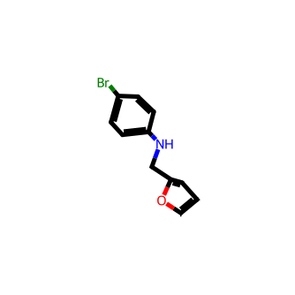 Brc1ccc(NCc2cc[c]o2)cc1